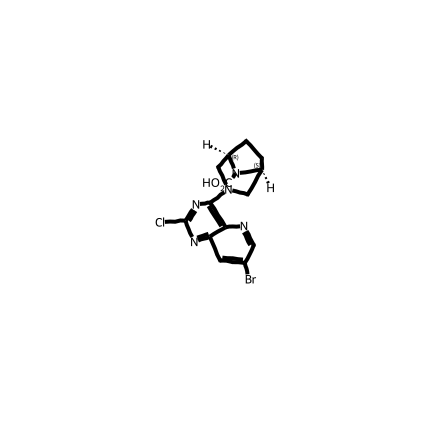 O=C(O)N1[C@@H]2CC[C@H]1CN(c1nc(Cl)nc3cc(Br)cnc13)C2